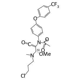 CO[C@@H](C(=C=O)N(c1ccc(Oc2ccc(C(F)(F)F)cc2)cc1)S(C)(=O)=O)N(C)CCCCl